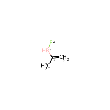 C=C(C)BF